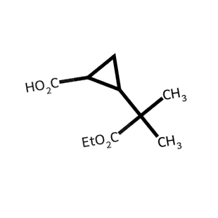 CCOC(=O)C(C)(C)C1CC1C(=O)O